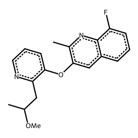 COC(C)Cc1ncccc1Oc1cc2cccc(F)c2nc1C